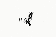 Cn1nc(C2CC2)cc1COc1ccc(Br)cc1